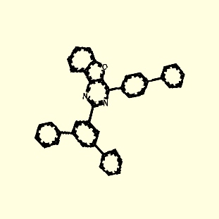 c1ccc(-c2ccc(-c3nc(-c4cc(-c5ccccc5)cc(-c5ccccc5)c4)nc4c3oc3ccccc34)cc2)cc1